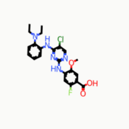 CCN(CC)c1ccccc1Nc1nc(Nc2cc(F)c(C(=O)O)cc2OC)ncc1Cl